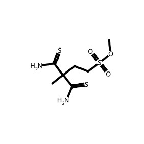 COS(=O)(=O)CCC(C)(C(N)=S)C(N)=S